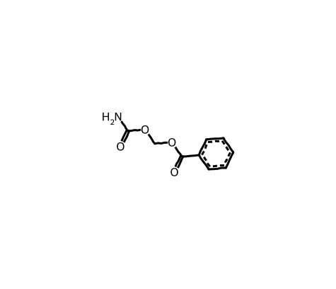 NC(=O)OCOC(=O)c1ccccc1